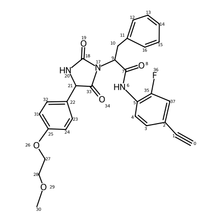 C#Cc1ccc(NC(=O)C(Cc2ccccc2)N2C(=O)NC(c3ccc(OCCOC)cc3)C2=O)c(F)c1